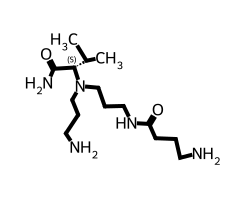 CC(C)[C@@H](C(N)=O)N(CCCN)CCCNC(=O)CCCN